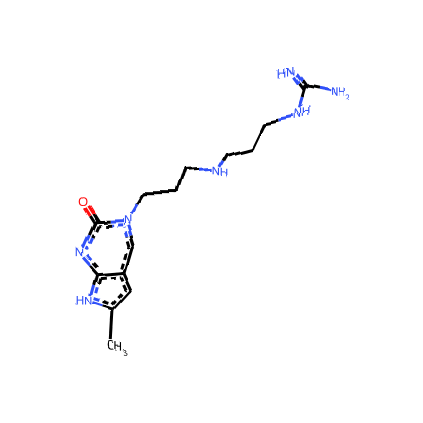 Cc1cc2cn(CCCNCCCNC(=N)N)c(=O)nc2[nH]1